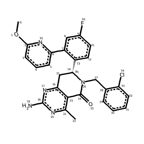 COc1cccc(-c2cc(F)ccc2[C@H]2Cc3nc(N)nc(C)c3C(=O)N2Cc2ccccc2Cl)n1